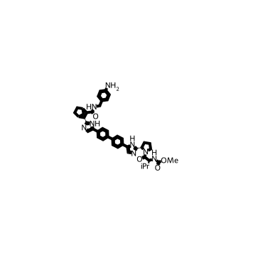 COC(=O)N[C@H](C(=O)N1CCC[C@H]1c1ncc(-c2ccc(-c3ccc(-c4cnc([C@@H]5C6CCC(C6)C5C(=O)NCc5ccc(N)cc5)[nH]4)cc3)cc2)[nH]1)C(C)C